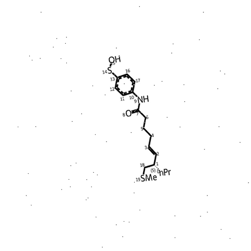 CCC[C@@H](C=CCCCC(=O)Nc1ccc(SO)cc1)CSC